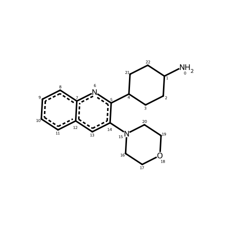 NC1CCC(c2nc3ccccc3cc2N2CCOCC2)CC1